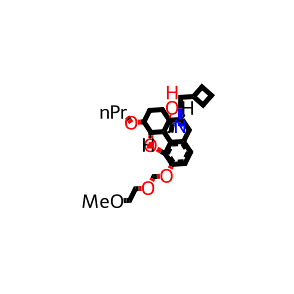 CCCOC1CC[C@@]2(O)[C@H]3Cc4ccc(OCOCCOC)c5c4[C@@]2(CCN3CC2CCC2)[C@H]1O5